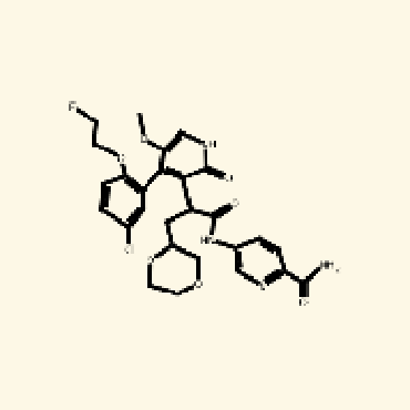 COc1c[nH]c(=O)c(C(CC2COCCO2)C(=O)Nc2ccc(C(N)=O)nc2)c1-c1cc(Cl)ccc1OCCF